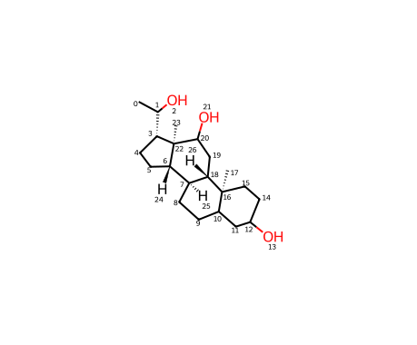 CC(O)[C@H]1CC[C@H]2[C@@H]3CCC4CC(O)CC[C@]4(C)[C@H]3CC(O)[C@]12C